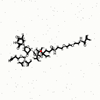 C=C(C)C(=O)NCCOCCOCCNC(=O)CCC(CC)(CC)O[Si](OC[C@H]1O[C@@H](n2cc(C)c(=O)[nH]c2=O)C[C@H]1OP(OCCC#N)N(C(C)C)C(C)C)(C(C)C)C(C)C